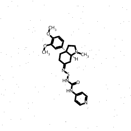 COc1ccc([C@@]23CC/C(=N/SNC(=O)Nc4ccncc4)C[C@@H]2N(C)CC3)cc1OC